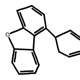 C1=CCC(c2cccc3oc4ccccc4c23)C=C1